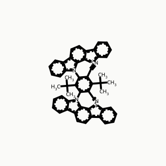 CC(C)(C)c1c(C#N)c(-n2c3ccccc3c3ccc4c5ccccc5sc4c32)c(C(C)(C)C)c(-n2c3ccccc3c3ccc4c5ccccc5sc4c32)c1C#N